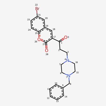 O=C(CCN1CCN(Cc2ccccc2)CC1)c1cc2cc(Br)ccc2oc1=O